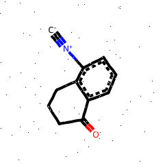 [C-]#[N+]c1cccc2c1CCCC2=O